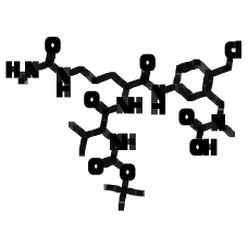 CC(C)C(NC(=O)OC(C)(C)C)C(=O)NC(CCCNC(N)=O)C(=O)Nc1ccc(CCl)c(CN(C)C(=O)O)c1